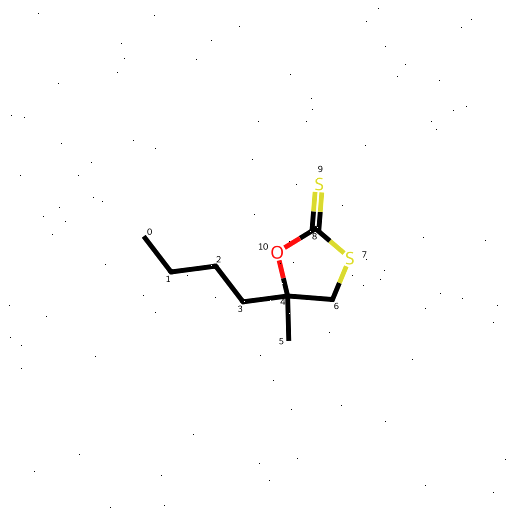 CCCCC1(C)CSC(=S)O1